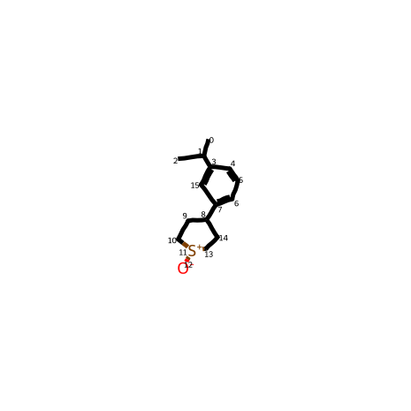 CC(C)c1cccc(C2CC[S+]([O-])CC2)c1